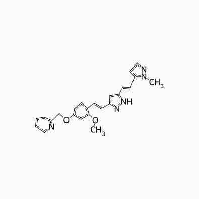 COc1cc(OCc2ccccn2)ccc1C=Cc1cc(C=Cc2ccnn2C)[nH]n1